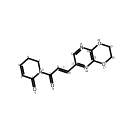 O=C1C=CCCN1C(=O)/C=C/c1cnc2c(n1)OCCO2